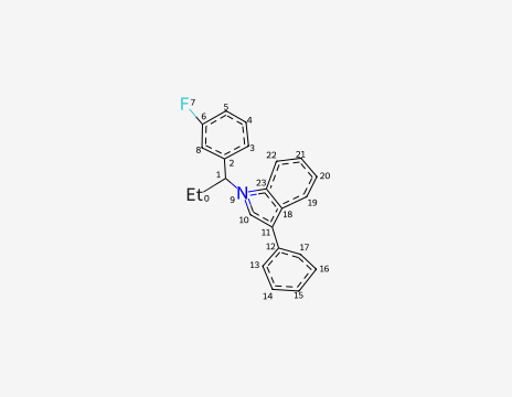 CCC(c1cccc(F)c1)n1cc(-c2ccccc2)c2ccccc21